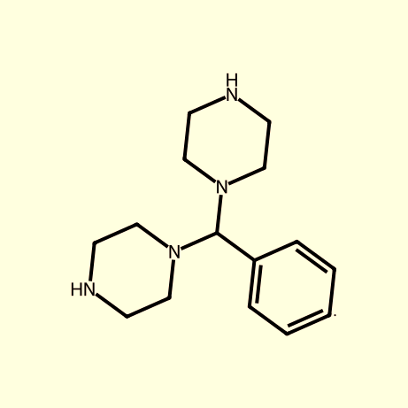 [c]1ccc(C(N2CCNCC2)N2CCNCC2)cc1